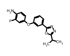 CC(C)c1nnc(-c2cccc(Oc3ccc(N)c(F)c3)c2)o1